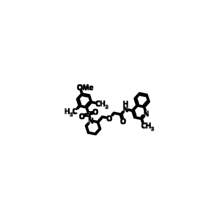 COc1cc(C)c(S(=O)(=O)N2CCCCC2COCC(=O)Nc2cc(C)nc3ccccc23)c(C)c1